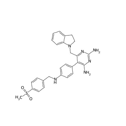 CS(=O)(=O)c1ccc(CNc2ccc(-c3c(N)nc(N)nc3CN3CCc4ccccc43)cc2)cc1